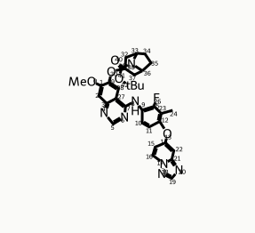 COc1cc2ncnc(Nc3ccc(Oc4ccn5ncnc5c4)c(C)c3F)c2cc1OC1CC2CCC(C1)N2C(=O)OC(C)(C)C